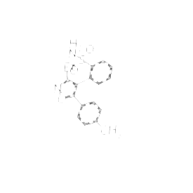 CCc1noc(-c2ccc(C)cc2)c1-c1ccccc1S(N)(=O)=O